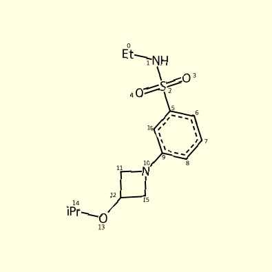 CCNS(=O)(=O)c1cccc(N2CC(OC(C)C)C2)c1